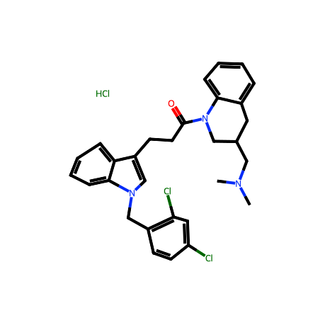 CN(C)CC1Cc2ccccc2N(C(=O)CCc2cn(Cc3ccc(Cl)cc3Cl)c3ccccc23)C1.Cl